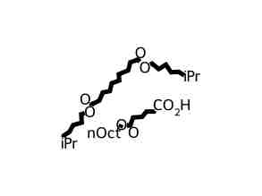 CC(C)CCCCCOC(=O)CCCCCCCCC(=O)OCCCCCC(C)C.CCCCCCCCOC(=O)CCCCC(=O)O